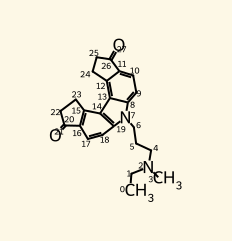 CCN(C)CCCn1c2ccc3c(c2c2c4c(ccc21)C(=O)CC4)CCC3=O